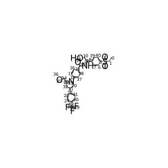 CCS(=O)(=O)c1ccc([C@H](CO)NC(=O)c2ccc(N3CC(c4ccc(C(F)(F)F)cc4)C[C@H]3COC)cc2)cc1